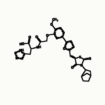 COc1ccc(-c2ccc(C=C3SC(=S)N(C4CC5CCC4C5)C3=O)o2)cc1OCC(=O)NC(Cc1cnc[nH]1)C(=O)O